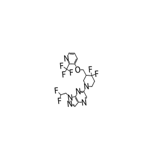 FC(F)Cn1ncc2ncc(N3CCC(F)(F)C(COc4cccnc4C(F)(F)F)C3)nc21